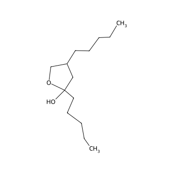 CCCCCC1COC(O)(CCCCC)C1